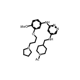 COc1ccc(Nc2cc(NCC3CCN(C(C)=O)CC3)cnn2)cc1OCCCN1CCCC1